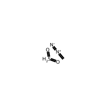 C=[N+]=[N-].O=[SH2]=O